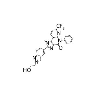 Cn1c(-c2ccc3nn(CCO)cc3c2)nc2c(=O)n(-c3ccccc3)c3nc(C(F)(F)F)ccc3c21